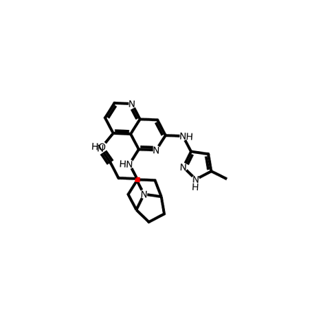 Cc1cc(Nc2cc3nccc(O)c3c(NC3CC4CCC(C3)N4CCC#N)n2)n[nH]1